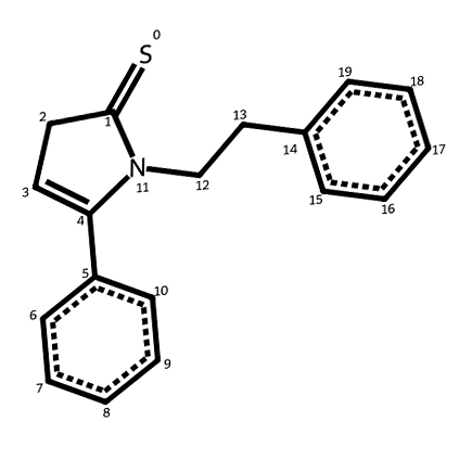 S=C1CC=C(c2ccccc2)N1CCc1ccccc1